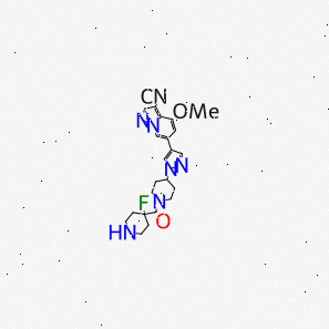 COc1cc(-c2cnn(C3CCN(C(=O)C4(F)CCNCC4)CC3)c2)cn2ncc(C#N)c12